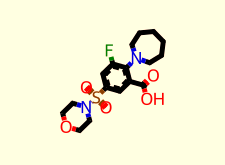 O=C(O)c1cc(S(=O)(=O)N2CCOCC2)cc(F)c1N1CCCCCC1